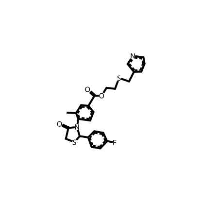 Cc1cc(C(=O)OCCSCc2cccnc2)ccc1N1C(=O)CSC1c1ccc(F)cc1